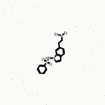 CCN(CC)CCc1ccc2ccn(NS(=O)(=O)c3ccccc3)c2c1